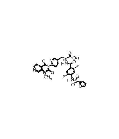 Cn1c(=O)n(-c2ccc(C[C@H](NC(=O)c3cc(F)c(NS(=O)(=O)c4ccco4)cc3F)C(=O)O)cn2)c(=O)c2ccncc21